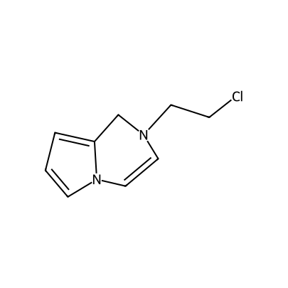 ClCCN1C=Cn2cccc2C1